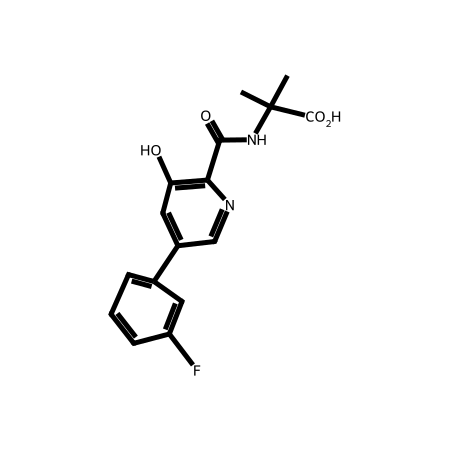 CC(C)(NC(=O)c1ncc(-c2cccc(F)c2)cc1O)C(=O)O